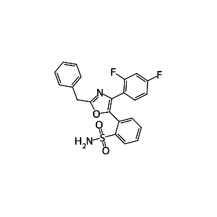 NS(=O)(=O)c1ccccc1-c1oc(Cc2ccccc2)nc1-c1ccc(F)cc1F